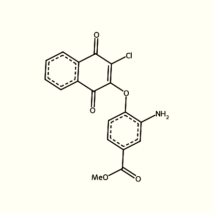 COC(=O)c1ccc(OC2=C(Cl)C(=O)c3ccccc3C2=O)c(N)c1